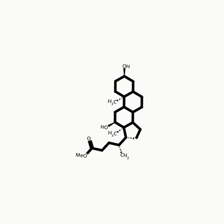 COC(=O)CC[C@@H](C)[C@H]1CCC2C3CCC4C[C@H](O)CC[C@]4(C)C3C[C@H](O)[C@@]21C